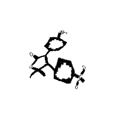 CC(C)c1ccc(C2=C(c3ccc(S(C)(=O)=O)cc3)C(C)(C)OC2=O)cc1